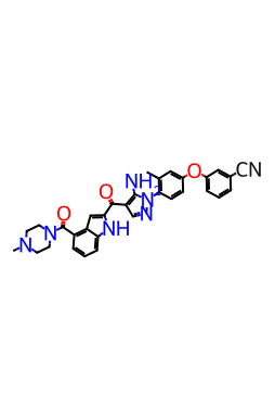 Cc1cc(Oc2cccc(C#N)c2)ccc1-n1ncc(C(=O)c2cc3c(C(=O)N4CCN(C)CC4)cccc3[nH]2)c1N